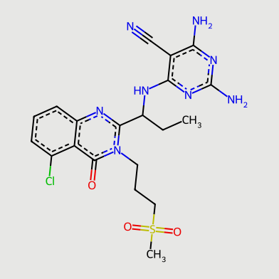 CCC(Nc1nc(N)nc(N)c1C#N)c1nc2cccc(Cl)c2c(=O)n1CCCS(C)(=O)=O